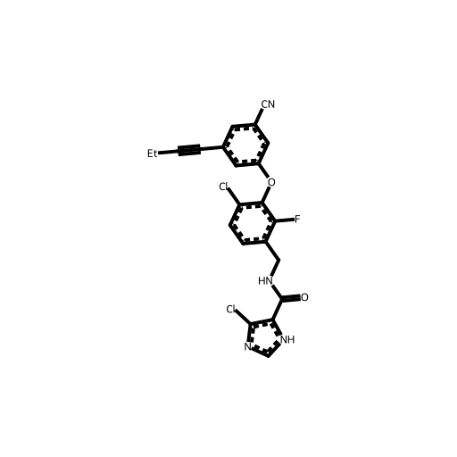 CCC#Cc1cc(C#N)cc(Oc2c(Cl)ccc(CNC(=O)c3[nH]cnc3Cl)c2F)c1